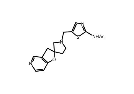 CC(=O)Nc1ncc(CN2CCC3(Cc4cnccc4O3)C2)s1